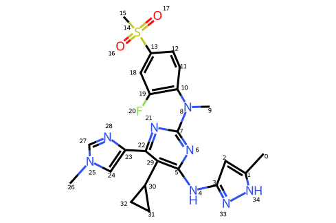 Cc1cc(Nc2nc(N(C)c3ccc(S(C)(=O)=O)cc3F)nc(-c3cn(C)cn3)c2C2CC2)n[nH]1